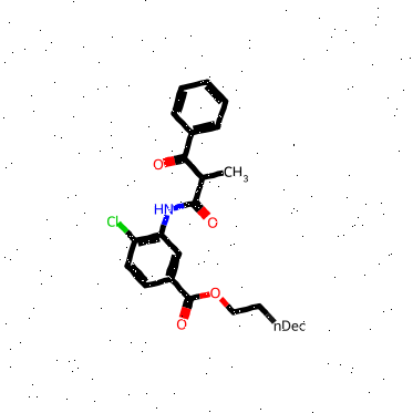 CCCCCCCCCCCCOC(=O)c1ccc(Cl)c(NC(=O)C(C)C(=O)c2ccccc2)c1